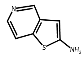 Nc1cc2cnccc2s1